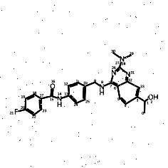 CC(O)c1ccc2c(NCc3ccc(NC(=O)c4ccc(F)cc4)cc3)nc(N(C)C)nc2c1